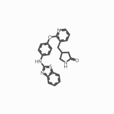 O=C1CC(Cc2cccnc2Oc2ccc(Nc3nc4ccccc4s3)cc2)CN1